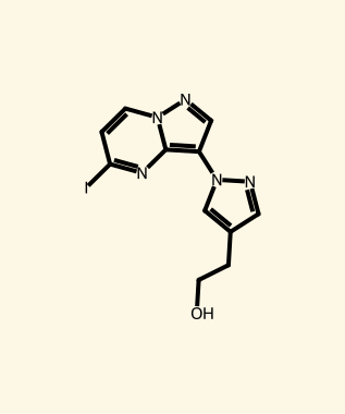 OCCc1cnn(-c2cnn3ccc(I)nc23)c1